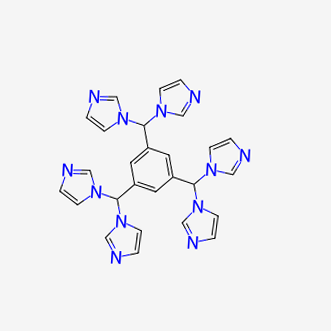 c1cn(C(c2cc(C(n3ccnc3)n3ccnc3)cc(C(n3ccnc3)n3ccnc3)c2)n2ccnc2)cn1